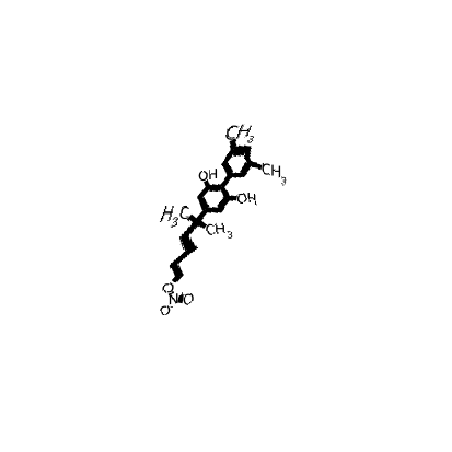 Cc1cc(C)cc(-c2c(O)cc(C(C)(C)CCCCO[N+](=O)[O-])cc2O)c1